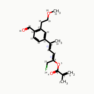 C=C(C)C(=O)O/C(=C/C=C(\C)c1ccc(C=O)c(CCOC)c1)CF